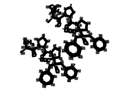 C[C@H](N)C(=O)N1CCC[C@H]1C(=O)N1CCC[C@]1(C(=O)[O-])P(=O)(Cc1ccccc1)Cc1ccccc1.C[C@H](N)C(=O)N1CCC[C@H]1C(=O)N1CCC[C@]1(C(=O)[O-])P(=O)(Cc1ccccc1)Cc1ccccc1.[Ca+2]